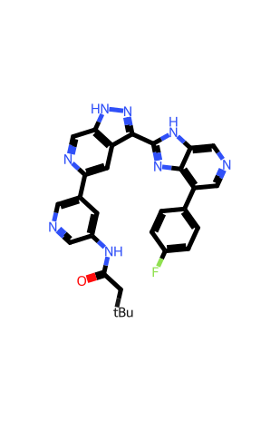 CC(C)(C)CC(=O)Nc1cncc(-c2cc3c(-c4nc5c(-c6ccc(F)cc6)cncc5[nH]4)n[nH]c3cn2)c1